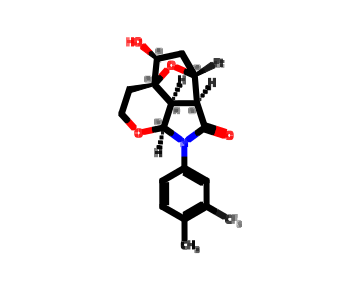 CC[C@@]12C[C@H](O)[C@]3(CCO[C@H]4[C@@H]3[C@@H]1C(=O)N4c1ccc(C)c(C(F)(F)F)c1)O2